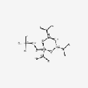 CC(C)[SiH]1O[SiH](C(C)C)O[Si](COC(C)(C)C)(C(C)C)O1